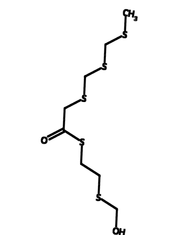 CSCSCSCC(=O)SCCSCO